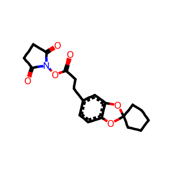 O=C(CCc1ccc2c(c1)OC1(CCCCC1)O2)ON1C(=O)CCC1=O